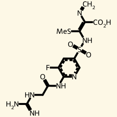 C=N/C(C(=O)O)=C(/NS(=O)(=O)c1cnc(NC(=O)CNC(=N)N)c(F)c1)SC